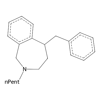 CCCCCN1CCC(Cc2ccccc2)c2ccccc2C1